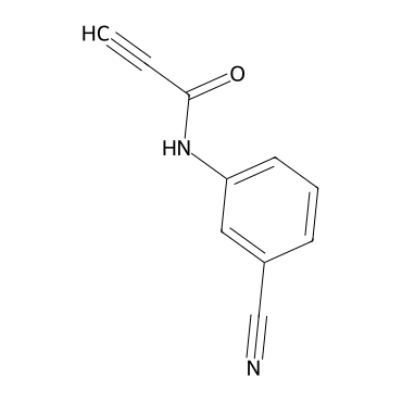 C#CC(=O)Nc1cccc(C#N)c1